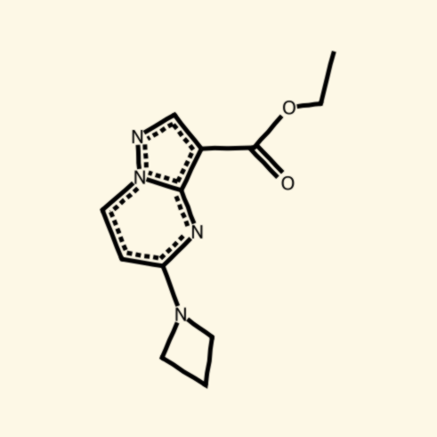 CCOC(=O)c1cnn2ccc(N3CCC3)nc12